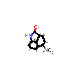 O=C1Nc2cccc3c([N+](=O)[O-])ccc1c23